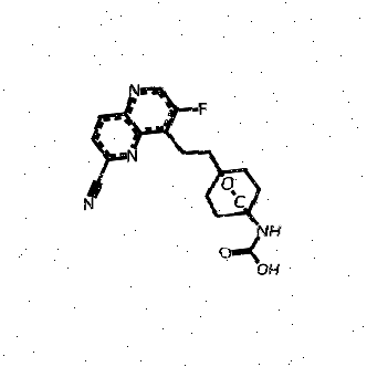 N#Cc1ccc2ncc(F)c(CCC34CCC(NC(=O)O)(CC3)CO4)c2n1